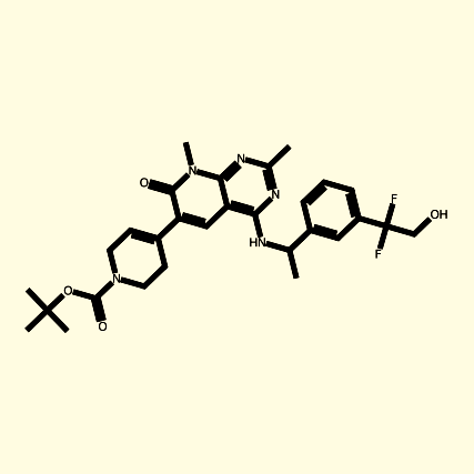 Cc1nc(NC(C)c2cccc(C(F)(F)CO)c2)c2cc(C3=CCN(C(=O)OC(C)(C)C)CC3)c(=O)n(C)c2n1